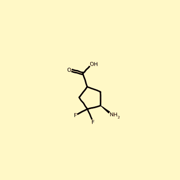 N[C@@H]1CC(C(=O)O)CC1(F)F